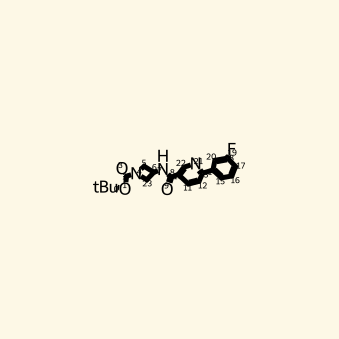 CC(C)(C)OC(=O)N1CC(NC(=O)c2ccc(-c3cccc(F)c3)nc2)C1